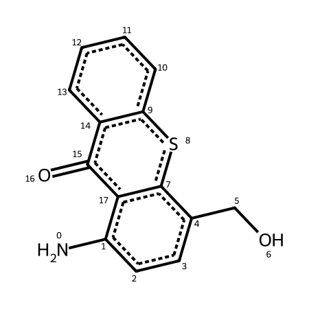 Nc1ccc(CO)c2sc3ccccc3c(=O)c12